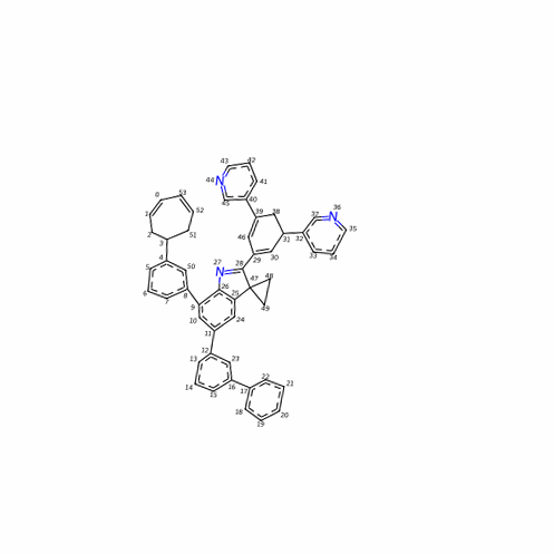 C1=CCC(c2cccc(-c3cc(-c4cccc(-c5ccccc5)c4)cc4c3N=C(C3=CC(c5cccnc5)CC(c5cccnc5)=C3)C43CC3)c2)CC=C1